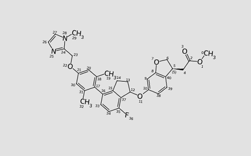 COC(=O)C[C@@H]1COc2cc(OC3CCc4c(-c5c(C)cc(OCc6nccn6C)cc5C)ccc(F)c43)ccc21